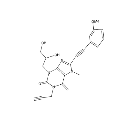 C#CCN1C(=C)c2c(nc(C#Cc3cccc(OC)c3)n2C)N(CC(O)CO)C1=O